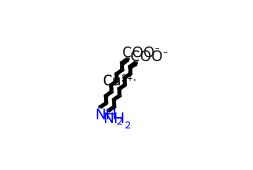 NCCCCCCCCC=CC(=O)[O-].NCCCCCCCCC=CC(=O)[O-].[Cu+2]